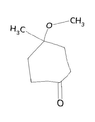 COC1(C)CCC(=O)CC1